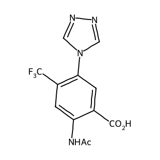 CC(=O)Nc1cc(C(F)(F)F)c(-n2cnnc2)cc1C(=O)O